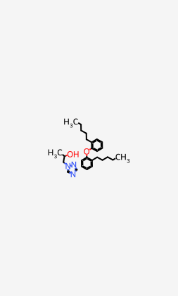 CC(O)Cn1cncn1.CCCCCc1ccccc1Oc1ccccc1CCCCC